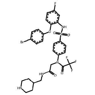 O=C(CN(C(=O)C(F)(F)F)c1ccc(S(=O)(=O)Nc2cc(F)ccc2Oc2ccc(Br)cc2)cc1)NCC1CCNCC1